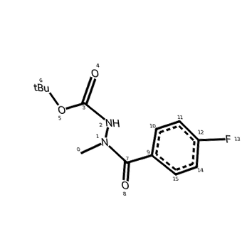 CN(NC(=O)OC(C)(C)C)C(=O)c1ccc(F)cc1